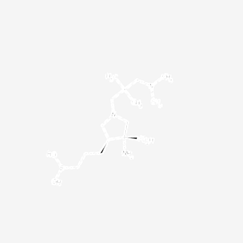 CN(C)CC(C)(C)CN1C[C@H](CCCB(O)O)[C@](N)(C(=O)O)C1